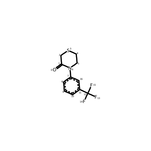 O=C1CSCCN1c1cccc(C(F)(F)F)c1